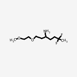 COCCOCCC(N)CCC(C)(F)F